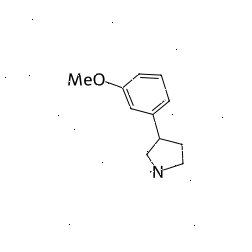 COc1cccc(C2CC[N]C2)c1